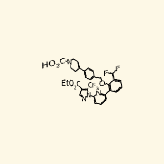 CCOC(=O)c1cnn(-c2cccc(-c3cccc(C(F)F)c3OCc3ccc(C4=CCN(C(=O)O)CC4)cc3)n2)c1C(F)(F)F